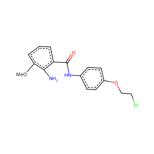 COc1cccc(C(=O)Nc2ccc(OCCCl)cc2)c1N